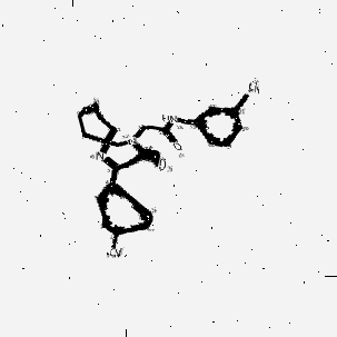 N#Cc1ccc(C2=NC3(CCCC3)N(CC(=O)Nc3cccc(C#N)c3)C2=O)cc1